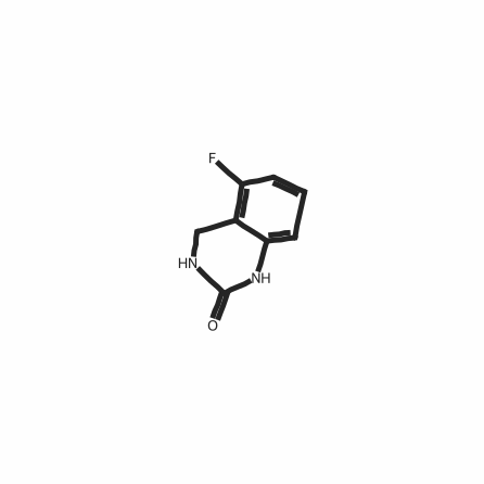 O=C1NCc2c(F)cccc2N1